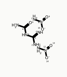 N=C(N)NC(N)=O.N[N+](=O)[O-].N[N+](=O)[O-]